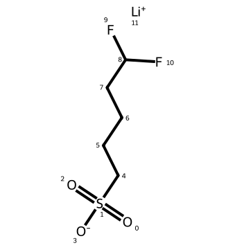 O=S(=O)([O-])CCCCC(F)F.[Li+]